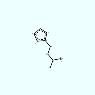 CC(Br)CCc1cccs1